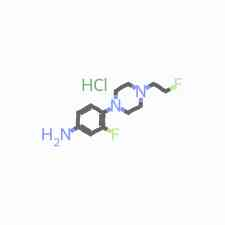 Cl.Nc1ccc(N2CCN(CCF)CC2)c(F)c1